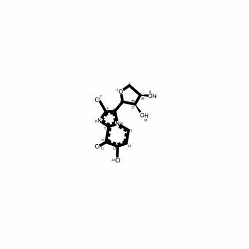 O[C@@H]1COC(c2c(Cl)nc3c(Cl)c(Cl)ccn23)[C@@H]1O